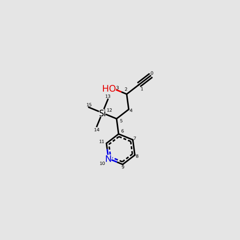 C#CC(O)CC(c1cccnc1)[Si](C)(C)C